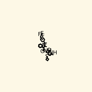 Cc1cc(SC2CCC2)c(CNC(=O)c2c(C)n([C@H](C)C3CCN(CC(F)(F)F)CC3)c3ccccc23)c(=O)[nH]1